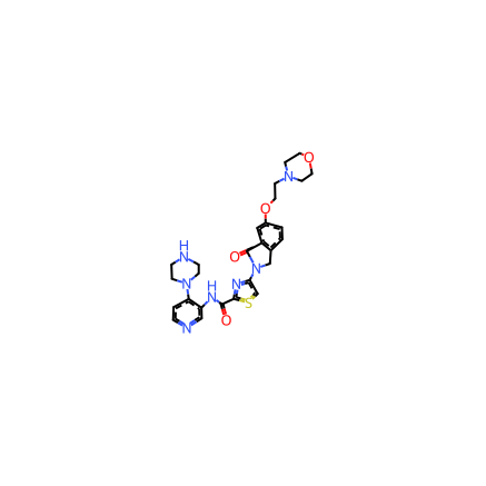 O=C(Nc1cnccc1N1CCNCC1)c1nc(N2Cc3ccc(OCCN4CCOCC4)cc3C2=O)cs1